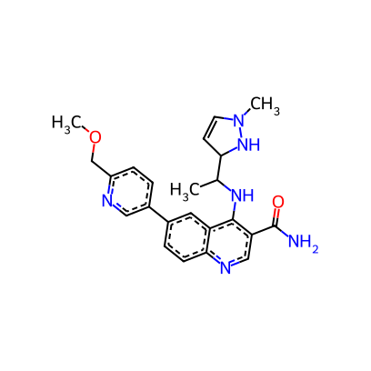 COCc1ccc(-c2ccc3ncc(C(N)=O)c(NC(C)C4C=CN(C)N4)c3c2)cn1